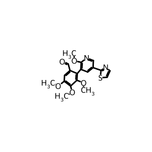 COc1cc(C=O)c(-c2cc(-c3nccs3)cnc2OC)c(OC)c1OC